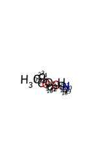 Cc1cccc(COc2cccc(OCCc3ccccn3)c2)c1C(=O)O